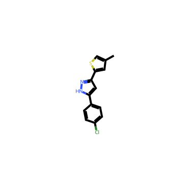 Cc1csc(-c2cc(-c3ccc(Cl)cc3)[nH]n2)c1